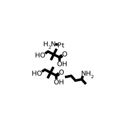 CC(C)(CO)C(=O)O.CC(C)(CO)C(=O)O.CCCC(C)N.[NH2][Pt]